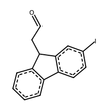 O=[C]CC1c2ccccc2-c2ccc(I)cc21